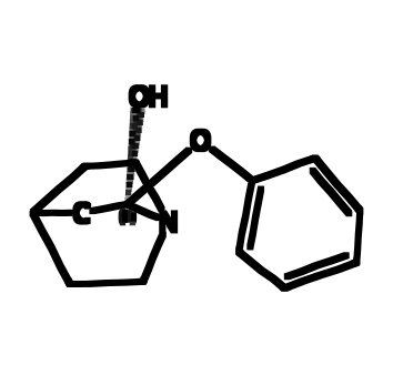 O[C@@]1(Oc2ccccc2)CC2CCN1CC2